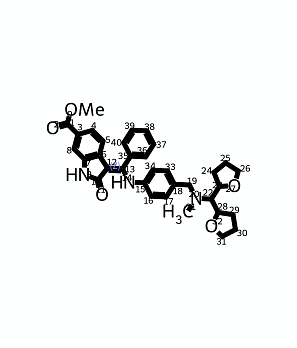 COC(=O)c1ccc2c(c1)NC(=O)/C2=C(\Nc1ccc(CN(C)C(C2CCCO2)C2CCCO2)cc1)c1ccccc1